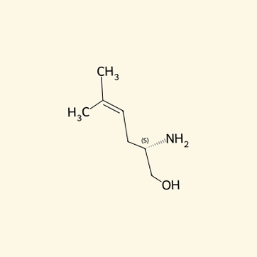 CC(C)=CC[C@H](N)CO